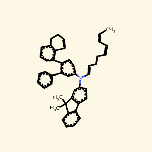 C/C=C\C=C/CC/C=C/N(c1ccc(-c2cccc3c2C=CCC3)c(-c2ccccc2)c1)c1ccc2c(c1)C(C)(C)c1ccccc1-2